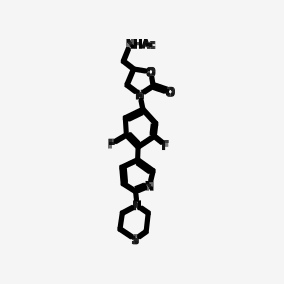 CC(=O)NCC1CN(c2cc(F)c(-c3ccc(N4CCSCC4)nc3)c(F)c2)C(=O)O1